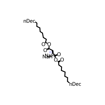 CCCCCCCCCCCCCCCCCC(=O)OC(=O)/C=C/C(=O)OC(=O)CCCCCCCCCCCCCCCCC.[NaH].[NaH]